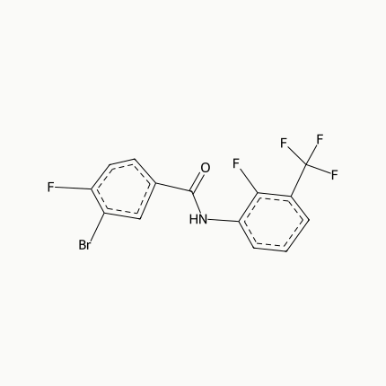 O=C(Nc1cccc(C(F)(F)F)c1F)c1ccc(F)c(Br)c1